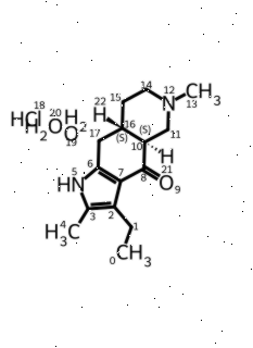 CCc1c(C)[nH]c2c1C(=O)[C@@H]1CN(C)CC[C@H]1C2.Cl.O.O